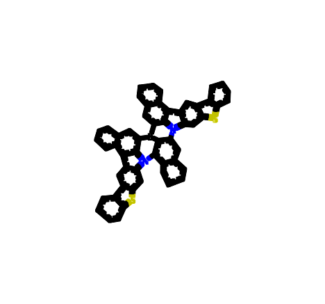 c1ccc2c3c4c(cc2c1)-n1c2cc5sc6ccccc6c5cc2c2c5ccccc5cc(c21)B4c1cc2ccccc2c2c4cc5c(cc4n-3c12)sc1ccccc15